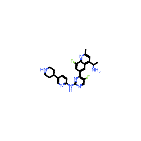 Cc1cc(C(C)N)c2cc(-c3nc(Nc4ccc(C5CCNCC5)cn4)ncc3F)cc(F)c2n1